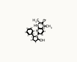 C[C@H]1Nc2nc(N3C(O)CCC3c3ccccc3)ccc2N(C)C1=O